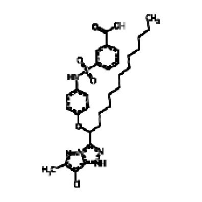 CCCCCCCCCCCCC(Oc1ccc(NS(=O)(=O)c2cccc(C(=O)O)c2)cc1)c1n[nH]c2c(Cl)c(C)nn12